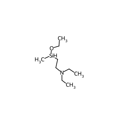 CCO[SiH](C)CCN(CC)CC